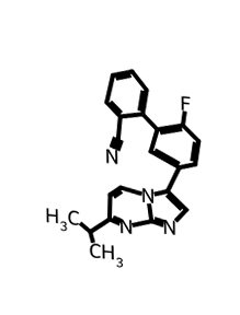 CC(C)c1ccn2c(-c3ccc(F)c(-c4ccccc4C#N)c3)cnc2n1